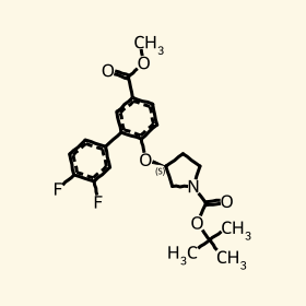 COC(=O)c1ccc(O[C@H]2CCN(C(=O)OC(C)(C)C)C2)c(-c2ccc(F)c(F)c2)c1